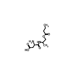 CCCC(=O)OCC(C)NC(=O)C(N)CC(=O)O